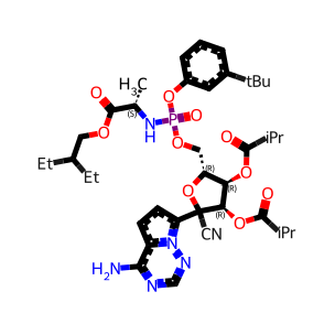 CCC(CC)COC(=O)[C@H](C)NP(=O)(OC[C@H]1OC(C#N)(c2ccc3c(N)ncnn23)[C@H](OC(=O)C(C)C)[C@@H]1OC(=O)C(C)C)Oc1cccc(C(C)(C)C)c1